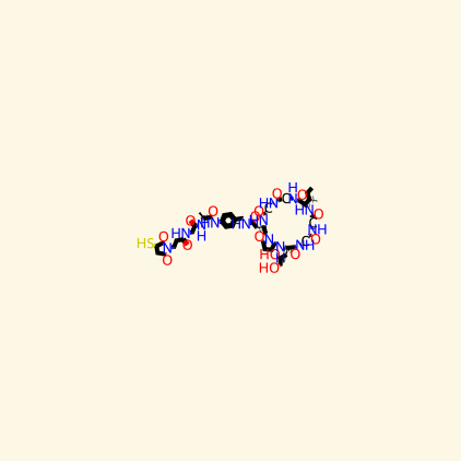 CC[C@H](C)[C@@H]1NC(=O)CNC(=O)CNC(=O)[C@H](C[C@@H](O)CO)NC2CCCN2C(=O)[C@H](CC(=O)NCc2ccc(NC(=O)[C@H](C)NC(=O)CNC(=O)CCN3C(=O)CC(S)C3=O)cc2)NC(=O)CNC(=O)CNC1=O